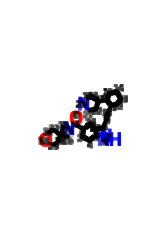 O=C(c1ccc2[nH]nc(C#Cc3ccccc3-c3ccncc3)c2c1)N1CC2(CCOCC2)C1